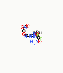 CCCCN(C(=O)Nc1cc(C(N)=O)c(F)cc1F)C1CCN(Cc2ccc(Oc3ccc(C(=O)N4CCOCC4)cc3)nc2)CC1